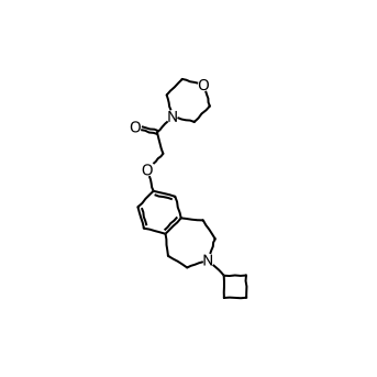 O=C(COc1ccc2c(c1)CCN(C1CCC1)CC2)N1CCOCC1